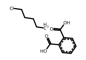 CCCCCCl.O=C(O)c1ccccc1C(=O)O